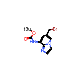 CC(C)(C)OC(=O)Nc1cc(CBr)cn2ccnc12